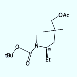 CC[C@H](CC(C)(C)COC(C)=O)N(C)C(=O)OC(C)(C)C